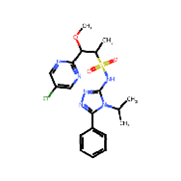 COC(c1ncc(Cl)cn1)C(C)S(=O)(=O)Nc1nnc(-c2ccccc2)n1C(C)C